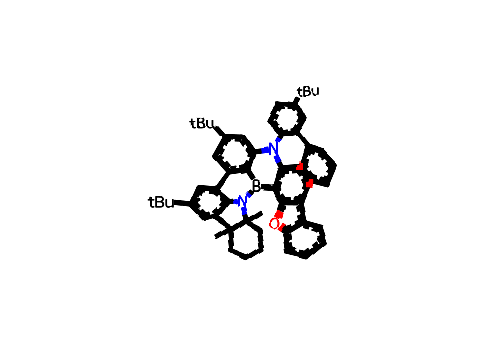 CC(C)(C)c1ccc(N2c3cc(C(C)(C)C)cc4c3B(c3c2ccc2c3oc3ccccc32)N2c3c-4cc(C(C)(C)C)cc3C3(C)CCCCC23C)c(-c2ccccc2)c1